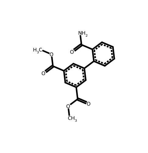 COC(=O)c1cc(C(=O)OC)cc(-c2ccccc2C(N)=O)c1